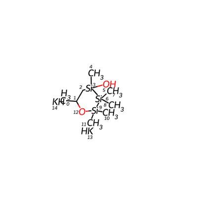 CC1C[Si](C)(O)[Si](C)(C)[Si](C)(C)O1.[KH].[KH]